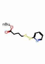 CCCCOC(=O)CCCSSc1ccccn1